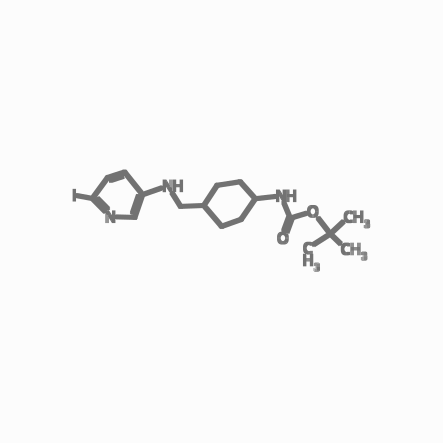 CC(C)(C)OC(=O)NC1CCC(CNc2ccc(I)nc2)CC1